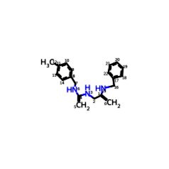 C=C(CNC(=C)NCc1ccc(C)cc1)NCc1ccccc1